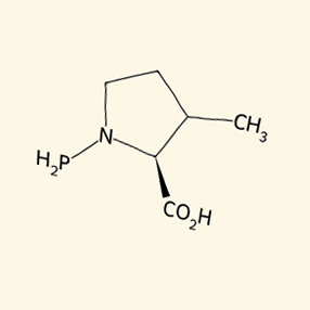 CC1CCN(P)[C@@H]1C(=O)O